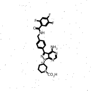 Nc1ncnc2c1c(-c1ccc(CNC(=O)c3cc(F)c(F)cc3F)cc1)nn2[C@@H]1CCCN(C(=O)O)C1